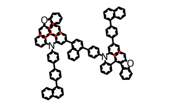 c1ccc(-c2ccccc2N(c2ccc(-c3ccc(-c4cccc5ccccc45)cc3)cc2)c2cc(-c3ccc(-c4ccc(N(c5cccc(-c6ccc(-c7cccc8ccccc78)cc6)c5)c5ccccc5-c5cccc6oc7ccccc7c56)cc4)c4ccccc34)ccc2-c2cccc3oc4ccccc4c23)cc1